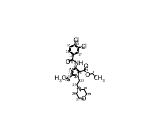 CCOC(=O)c1c(NC(=O)c2ccc(Cl)c(Cl)c2)nc(SC)n1CCN1CCOCC1